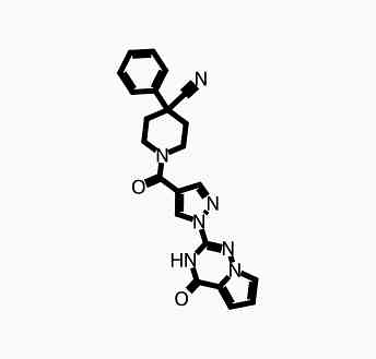 N#CC1(c2ccccc2)CCN(C(=O)c2cnn(-c3nn4cccc4c(=O)[nH]3)c2)CC1